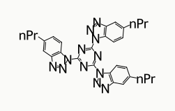 CCCc1ccc2c(c1)nnn2-c1nc(-n2nnc3cc(CCC)ccc32)nc(-n2nnc3cc(CCC)ccc32)n1